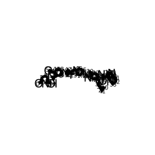 O=C1CCC(N2Cc3cc(N4CC(F)(CN5CCC(n6cc7cc(NC(=O)c8cnn9cccnc89)c(OCC8CC8)cc7n6)CC5)C4)ccc3C2=O)C(=O)N1